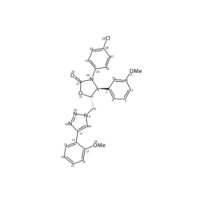 COc1cccc([C@H]2[C@H](Cn3cc(-c4ccccc4OC)nn3)OC(=O)N2c2ccc(Cl)cc2)c1